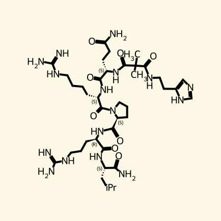 CC(C)C[C@H](NC(=O)[C@@H](CCCNC(=N)N)NC(=O)[C@@H]1CCCN1C(=O)[C@H](CCCCNC(=N)N)NC(=O)[C@H](CCC(N)=O)NC(=O)C(C)(C)C(=O)NCCc1cnc[nH]1)C(N)=O